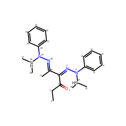 CCC(=O)C(=NN(c1ccccc1)[SiH](C)C)C(C)=NN(c1ccccc1)[SiH](C)C